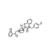 O=C(C[N+]12CCC(CC1)[C@@H](OC(=O)N(Cc1ccc(F)cc1)c1ccccc1F)C2)c1ccc[nH]1